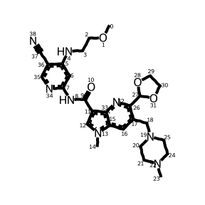 COCCNc1cc(NC(=O)c2cn(C)c3cc(CN4CCN(C)CC4)c(C4OCCO4)nc23)ncc1C#N